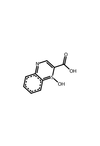 O=C(O)C1=CN=c2ccccc2=S1O